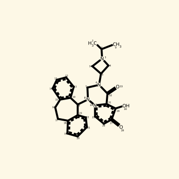 CC(C)N1CC(N2CN(C3c4ccccc4CCc4ccccc43)n3ccc(=O)c(O)c3C2=O)C1